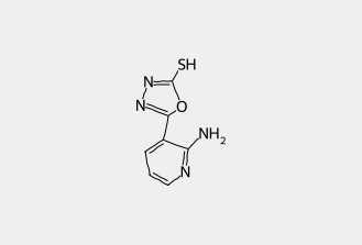 Nc1ncccc1-c1nnc(S)o1